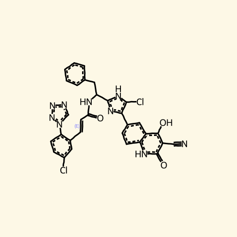 N#Cc1c(O)c2cc(-c3nc(C(Cc4ccccc4)NC(=O)/C=C/c4cc(Cl)ccc4-n4cnnn4)[nH]c3Cl)ccc2[nH]c1=O